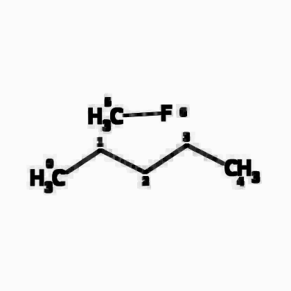 CCCCC.CF